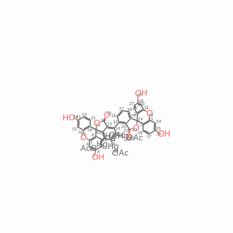 CC(=O)[O][Hg][c]1cc(O)cc2c1C1(OC(=O)c3c(-c4cccc5c4C(=O)OC54c5ccc(O)cc5Oc5cc(O)ccc54)[c]([Hg][O]C(C)=O)[c]([Hg][O]C(C)=O)[c]([Hg][O]C(C)=O)c31)c1ccc(O)cc1O2